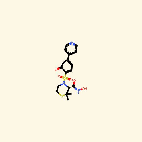 CC1(C)SCCN(S(=O)(=O)C2=CC=C(c3ccncc3)CC2=O)[C@@H]1C(=O)NO